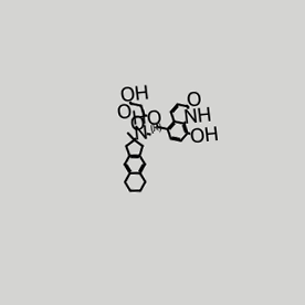 CC1(NC[C@H](OC(=O)CC(=O)O)c2ccc(O)c3[nH]c(=O)ccc23)Cc2cc3c(cc2C1)CCCC3